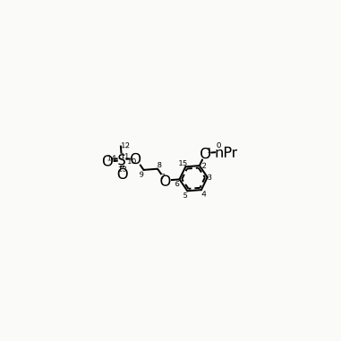 CCCOc1cccc(OCCOS(C)(=O)=O)c1